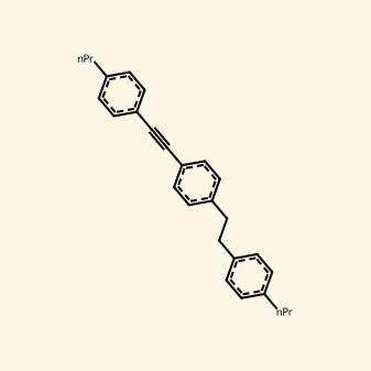 CCCc1ccc(C#Cc2ccc(CCc3ccc(CCC)cc3)cc2)cc1